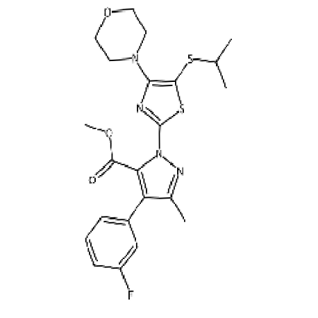 COC(=O)c1c(-c2cccc(F)c2)c(C)nn1-c1nc(N2CCOCC2)c(SC(C)C)s1